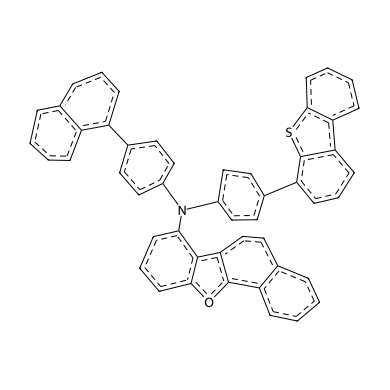 c1ccc2c(-c3ccc(N(c4ccc(-c5cccc6c5sc5ccccc56)cc4)c4cccc5oc6c7ccccc7ccc6c45)cc3)cccc2c1